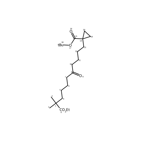 CCOC(=O)C(C)(C)CCCCC(=O)CCCCC1(C(=O)OC(C)(C)C)CC1